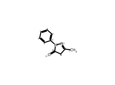 CC1=NN(c2ccccc2)C(=O)[C]1